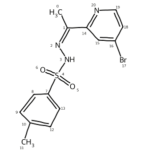 CC(=NNS(=O)(=O)c1ccc(C)cc1)c1cc(Br)ccn1